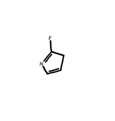 FC1=NC=CC1